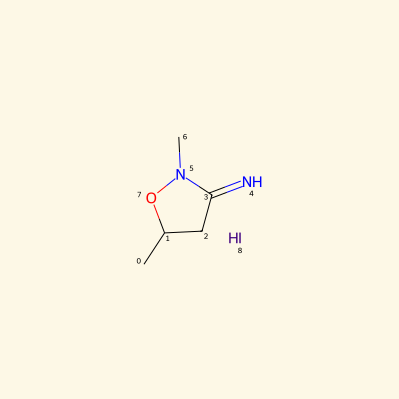 CC1CC(=N)N(C)O1.I